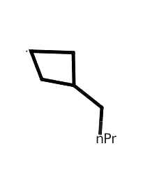 CCCCC1C[CH]C1